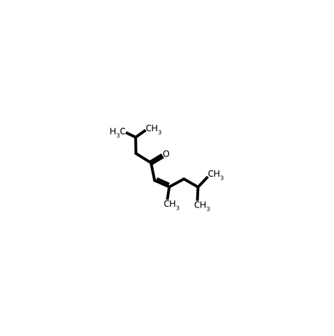 CC(=CC(=O)CC(C)C)CC(C)C